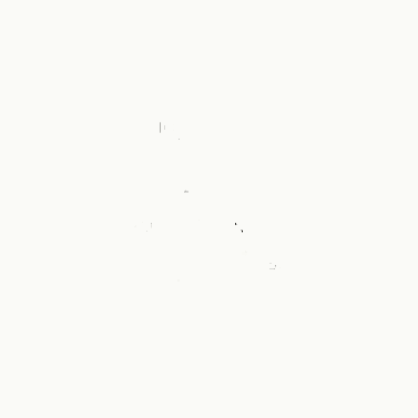 O=C(O)CC1COc2ccc(Br)nc21